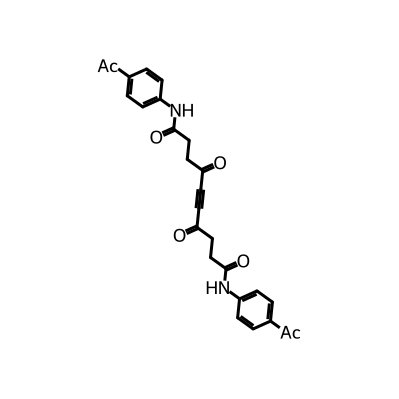 CC(=O)c1ccc(NC(=O)CCC(=O)C#CC(=O)CCC(=O)Nc2ccc(C(C)=O)cc2)cc1